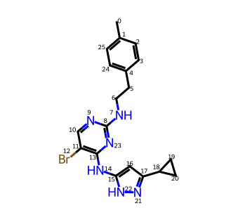 Cc1ccc(CCNc2ncc(Br)c(Nc3cc(C4CC4)n[nH]3)n2)cc1